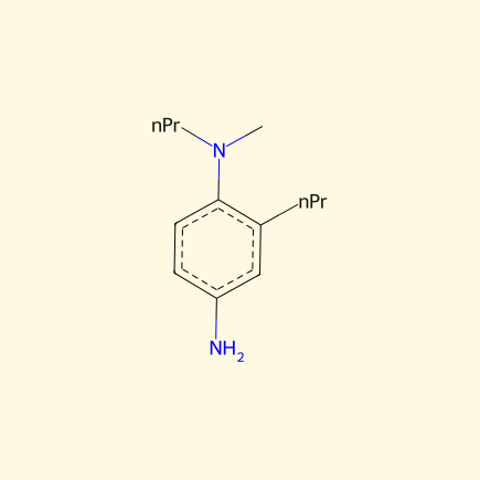 CCCc1cc(N)ccc1N(C)CCC